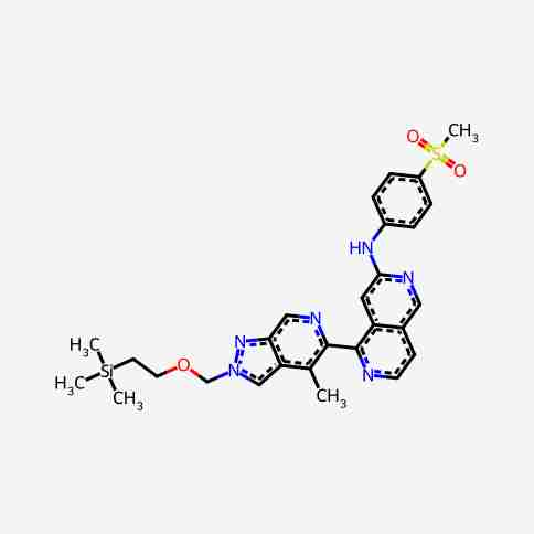 Cc1c(-c2nccc3cnc(Nc4ccc(S(C)(=O)=O)cc4)cc23)ncc2nn(COCC[Si](C)(C)C)cc12